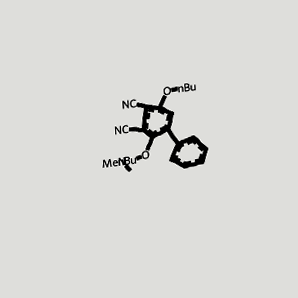 CCCCOc1cc(-c2ccccc2)c(OCCCC)c(C#N)c1C#N.CNC